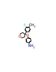 Cc1ccc(C2(Oc3ccc(N)cc3)CCOCC2)cc1F